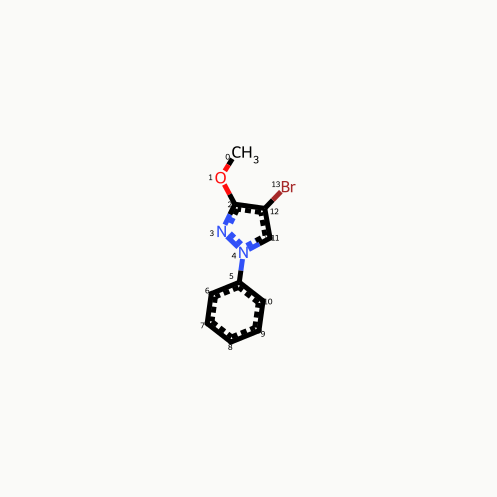 COc1nn(-c2ccccc2)cc1Br